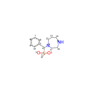 CS(=O)(=O)C(c1ccccc1)N1CCCNCC1